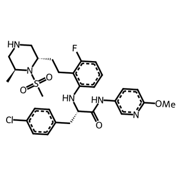 COc1ccc(NC(=O)[C@H](Cc2ccc(Cl)cc2)Nc2cccc(F)c2CC[C@H]2CNC[C@H](C)N2S(C)(=O)=O)cn1